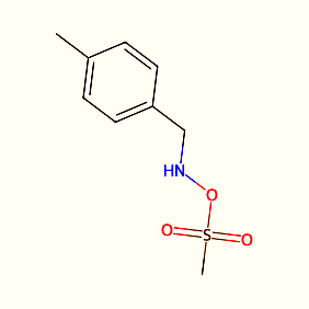 Cc1ccc(CNOS(C)(=O)=O)cc1